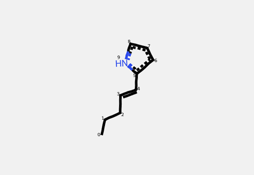 CCCC=Cc1ccc[nH]1